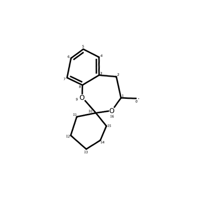 [CH2]C1Cc2ccccc2OC2(CCCCC2)O1